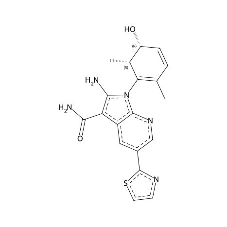 CC1=C(n2c(N)c(C(N)=O)c3cc(-c4nccs4)cnc32)[C@H](C)[C@H](O)C=C1